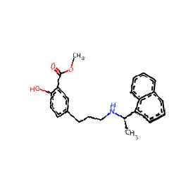 COC(=O)c1cc(CCCN[C@H](C)c2cccc3ccccc23)ccc1O